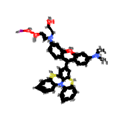 CN(C)c1ccc2c(-c3cc4c5c(c3)Sc3ccccc3N5c3ccccc3S4)c3cc/c(=[N+](/CCO)CCOOI)cc-3oc2c1